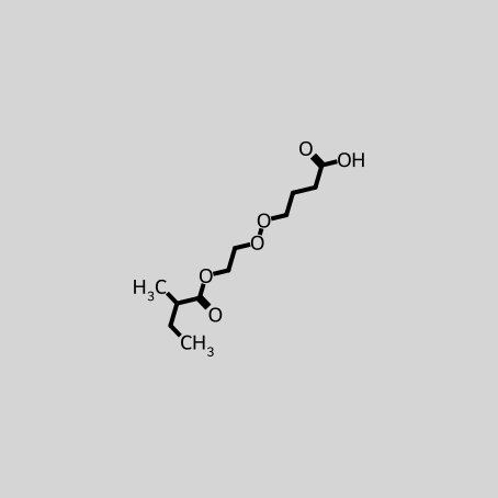 CCC(C)C(=O)OCCOOCCCC(=O)O